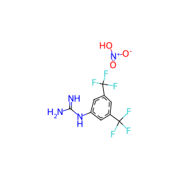 N=C(N)Nc1cc(C(F)(F)F)cc(C(F)(F)F)c1.O=[N+]([O-])O